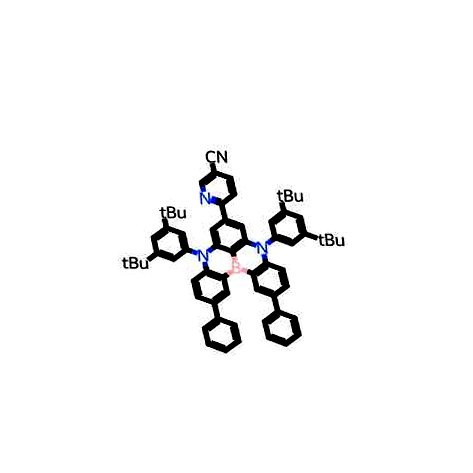 CC(C)(C)c1cc(N2c3ccc(-c4ccccc4)cc3B3c4cc(-c5ccccc5)ccc4N(c4cc(C(C)(C)C)cc(C(C)(C)C)c4)c4cc(-c5ccc(C#N)cn5)cc2c43)cc(C(C)(C)C)c1